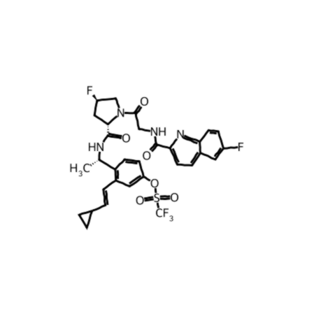 C[C@H](NC(=O)[C@@H]1C[C@@H](F)CN1C(=O)CNC(=O)c1ccc2cc(F)ccc2n1)c1ccc(OS(=O)(=O)C(F)(F)F)cc1/C=C/C1CC1